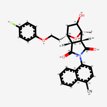 C[C@]12O[C@](CCOc3ccc(F)cc3)(CC1O)[C@H]1C(=O)N(c3ccc(C#N)c4ccccc34)C(=O)[C@H]12